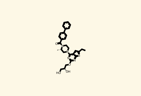 CCc1cc2c(N3CCN(C(=O)c4ccc(-c5ccccc5)cc4)[C@@H](C)C3)nc(OC[C@H](O)CO)nc2s1